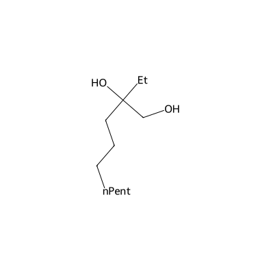 CCCCCCCCC(O)(CC)CO